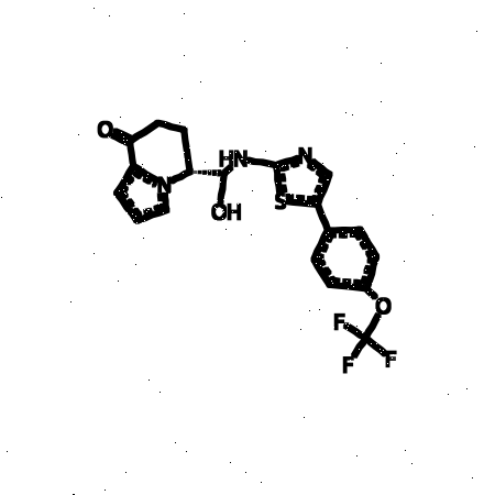 O=C1CC[C@H](C(O)Nc2ncc(-c3ccc(OC(F)(F)F)cc3)s2)n2cccc21